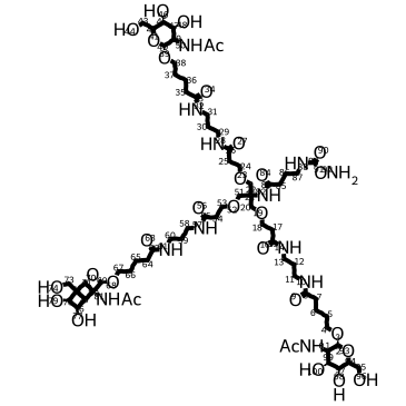 CC(=O)NC1[C@H](OCCCCC(=O)NCCCNC(=O)CCOCC(COCCC(=O)NCCCNC(=O)CCCCO[C@@H]2OC(CO)[C@H](O)[C@H](O)C2NC(C)=O)(COCCC(=O)NCCCNC(=O)CCCCO[C@@H]2OC3C4(CO)C([C@@H](O)[C@H]4O)[C@@]32NC(C)=O)NC(=O)CCCNC(=O)ON)OC(CO)[C@H](O)[C@@H]1O